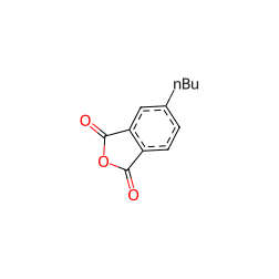 CCCCc1ccc2c(c1)C(=O)OC2=O